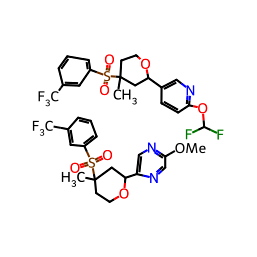 CC1(S(=O)(=O)c2cccc(C(F)(F)F)c2)CCOC(c2ccc(OC(F)F)nc2)C1.COc1cnc(C2CC(C)(S(=O)(=O)c3cccc(C(F)(F)F)c3)CCO2)cn1